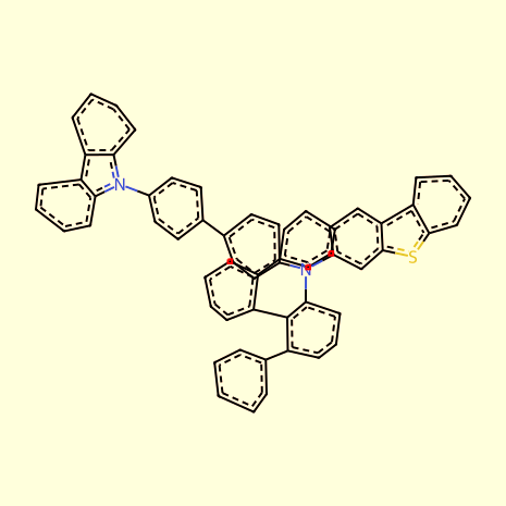 c1ccc(-c2ccccc2-c2c(-c3ccccc3)cccc2N(c2ccc(-c3ccc(-n4c5ccccc5c5ccccc54)cc3)cc2)c2ccc3c(c2)sc2ccccc23)cc1